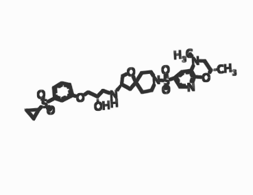 C[C@H]1CN(C)c2cc(S(=O)(=O)N3CCC4(CC3)C[C@@H](NC[C@H](O)COc3cccc(S(=O)(=O)C5CC5)c3)CO4)cnc2O1